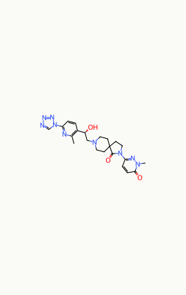 Cc1nc(-n2cnnn2)ccc1[C@@H](O)CN1CCC2(CC1)CCN(c1ccc(=O)n(C)n1)C2=O